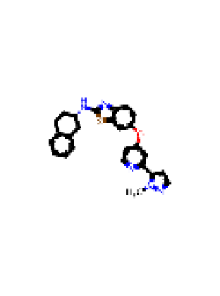 Cn1nccc1-c1cc(Oc2ccc3nc(N[C@H]4CCc5ccccc5C4)sc3c2)ccn1